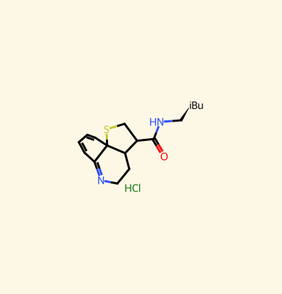 CC[C@H](C)CNC(=O)C1CSC23C=CC=CC2=NCCC13.Cl